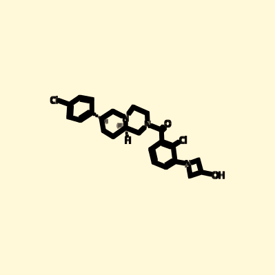 O=C(c1cccc(N2CC(O)C2)c1Cl)N1CCN2C[C@@H](c3ccc(Cl)cc3)CC[C@@H]2C1